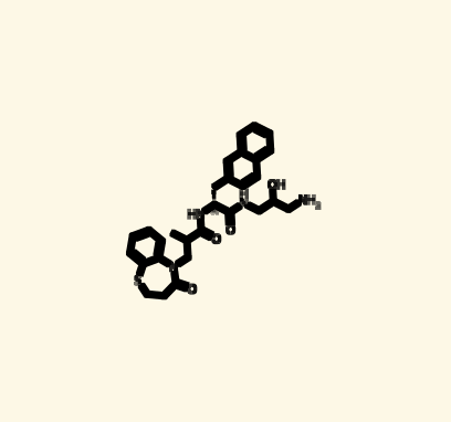 CC(CN1C(=O)CCSc2ccccc21)C(=O)N[C@H](Cc1ccc2ccccc2c1)C(=O)NCC(O)CN